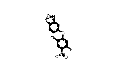 O=[N+]([O-])c1cc(Cl)c(Oc2ccc3nonc3c2)cc1F